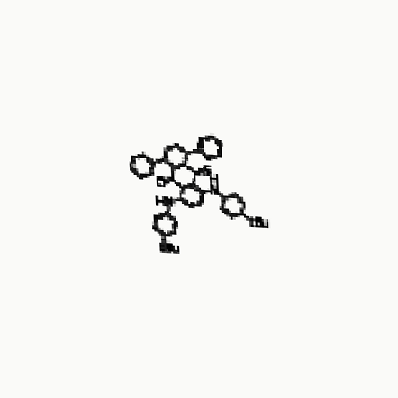 CC(C)(C)c1ccc(Nc2ccc(Nc3ccc(C(C)(C)C)cc3)c3c2C(=O)c2c(-c4ccccc4)ccc(-c4ccccc4)c2C3=S)cc1